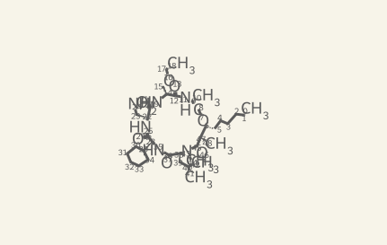 CCCCCC[C@H]1OC[C@@H](C)NC(=O)[C@H](COCC)NC(=O)[C@H](CN)NC(=O)[C@H](C2CCCCC2)NC(=O)[C@H](CC(C)C)N(C)C(=O)[C@@H]1C